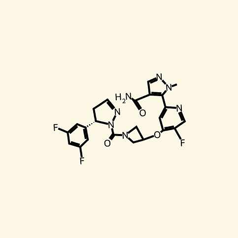 Cn1ncc(C(N)=O)c1-c1cc(OC2CN(C(=O)N3N=CC[C@H]3c3cc(F)cc(F)c3)C2)c(F)cn1